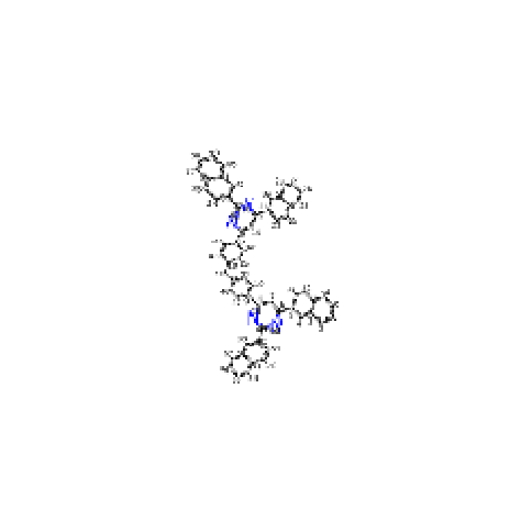 c1ccc2cc(-c3cc(-c4ccc(Cc5ccc(-c6cc(-c7ccc8ccccc8c7)nc(-c7ccc8ccccc8c7)n6)cc5)cc4)nc(-c4ccc5ccccc5c4)n3)ccc2c1